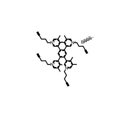 C#CCCC[n+]1cc(C)c(C)c(-c2cc(-c3c[n+](CCCC#C)cc(C)c3C)c(-c3c[n+](CCCC#C)cc(C)c3C)cc2-c2c[n+](CCCC#C)cc(C)c2C)c1.[Br-].[Br-].[Br-].[Br-]